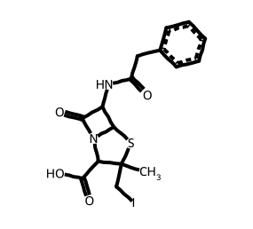 CC1(CI)SC2C(NC(=O)Cc3ccccc3)C(=O)N2C1C(=O)O